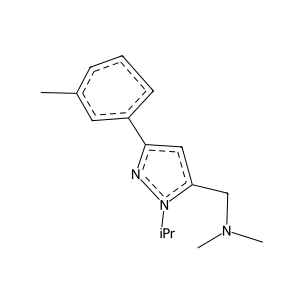 Cc1cccc(-c2cc(CN(C)C)n(C(C)C)n2)c1